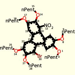 CCCCCOc1cc2c(cc1OCCCCC)c1c([N+](=O)[O-])c(OCCCCC)c(OCCCCC)cc1c1cc(OCCCCC)c(OCCCCC)c(Br)c21